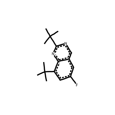 CC(C)(C)c1ncc2cc(F)cc(C(C)(C)C)c2n1